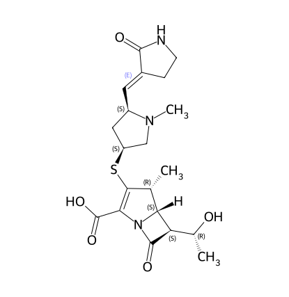 C[C@@H](O)[C@H]1C(=O)N2C(C(=O)O)=C(S[C@H]3C[C@@H](/C=C4\CCNC4=O)N(C)C3)[C@H](C)[C@H]12